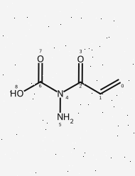 C=CC(=O)N(N)C(=O)O